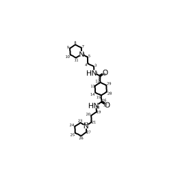 O=C(NCCCN1CCCCC1)C1CCC(C(=O)NCCCN2CCCCC2)CC1